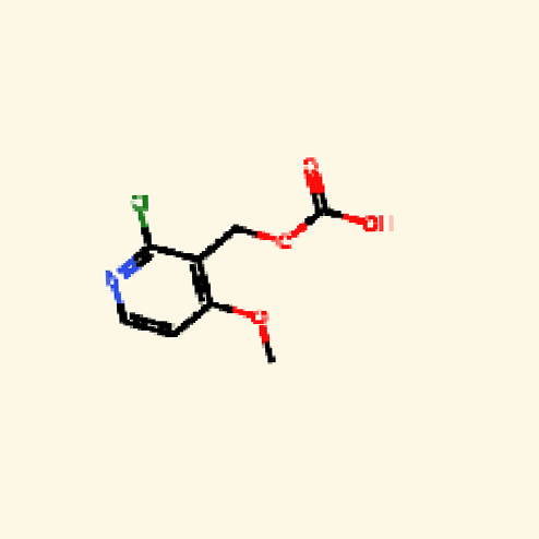 COc1ccnc(Cl)c1COC(=O)O